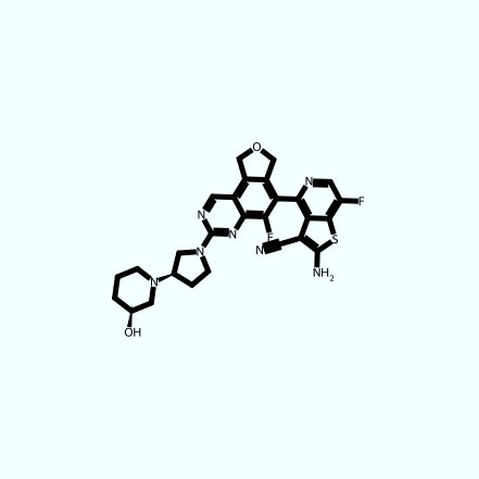 N#Cc1c(N)sc2c(F)cnc(-c3c4c(c5cnc(N6CC[C@@H](N7CCC[C@H](O)C7)C6)nc5c3F)COC4)c12